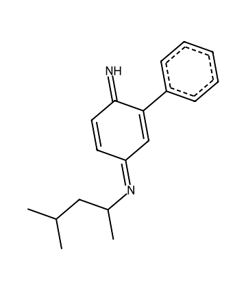 CC(C)CC(C)N=C1C=CC(=N)C(c2ccccc2)=C1